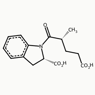 C[C@H](CCC(=O)O)C(=O)N1c2ccccc2C[C@H]1C(=O)O